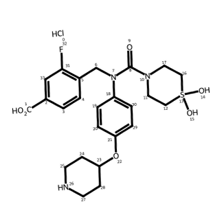 Cl.O=C(O)c1ccc(CN(C(=O)N2CCS(O)(O)CC2)c2ccc(OC3CCNCC3)cc2)c(F)c1